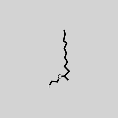 CCCCCCCCCCC(C)OCCI